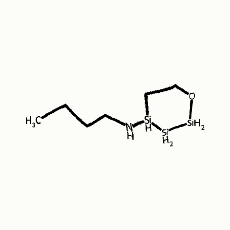 CCCCN[SiH]1CCO[SiH2][SiH2]1